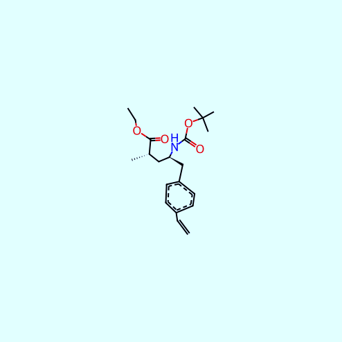 C=Cc1ccc(C[C@@H](C[C@H](C)C(=O)OCC)NC(=O)OC(C)(C)C)cc1